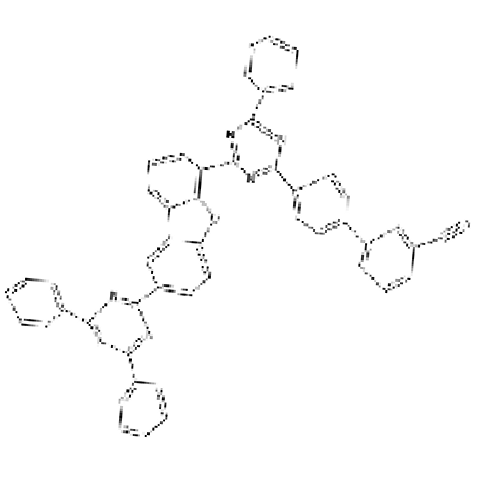 N#Cc1cccc(-c2ccc(-c3nc(-c4ccccc4)nc(-c4cccc5c4oc4ccc(-c6nc(-c7ccccc7)nc(-c7ccccc7)n6)cc45)n3)cc2)c1